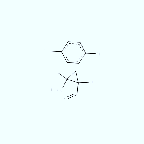 C=CC1(CC)CC1(N)C(=O)O.Cc1ccc(S(=O)(=O)O)cc1